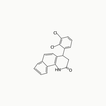 O=C1CC(c2cccc(Cl)c2Cl)c2ccc3ccccc3c2N1